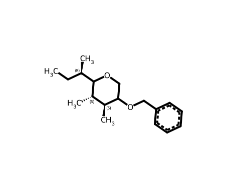 CC[C@@H](C)C1OCC(OCc2ccccc2)[C@@H](C)[C@@H]1C